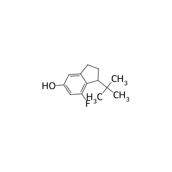 CC(C)(C)C1CCc2cc(O)cc(F)c21